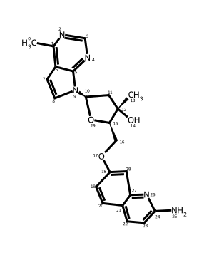 Cc1ncnc2c1ccn2[C@H]1C[C@](C)(O)[C@@H](COc2ccc3ccc(N)nc3c2)O1